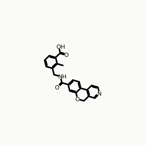 Cc1c(CNC(=O)c2ccc3c(c2)OCc2cnccc2-3)cccc1C(=O)O